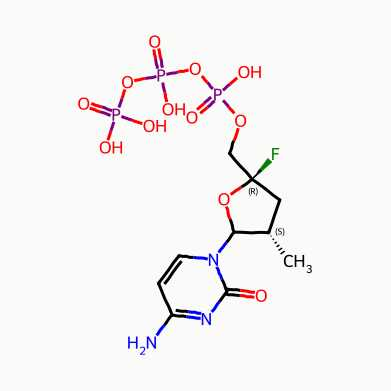 C[C@H]1C[C@@](F)(COP(=O)(O)OP(=O)(O)OP(=O)(O)O)OC1n1ccc(N)nc1=O